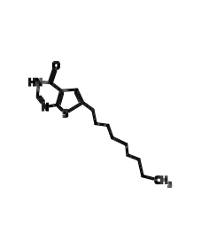 CCCCCCCCCc1cc2c(=O)[nH]cnc2s1